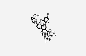 O=C(NC(C(F)(F)F)C(F)(F)P)c1cn(-c2ncc(F)cc2F)c2nc(N3CC4CC4(O)C3)ccc2c1=O